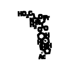 CC(=O)[C@H]1CC[C@H]2[C@@H]3CC[C@H]4C[C@H](OC(=O)[C@H](CC(C)C)NC(=O)[C@@H](N)CC(=O)O)CC[C@]4(C)[C@H]3CC[C@]12C